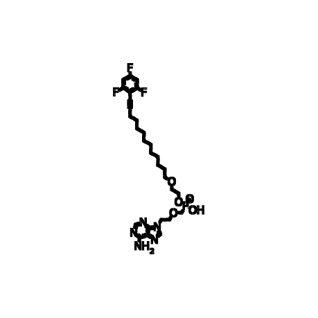 Nc1ncnc2c1ncn2CCOCP(=O)(O)OCCOCCCCCCCCCCCC#Cc1c(F)cc(F)cc1F